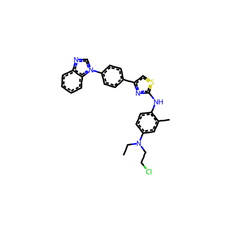 CCN(CCCl)c1ccc(Nc2nc(-c3ccc(-n4cnc5ccccc54)cc3)cs2)c(C)c1